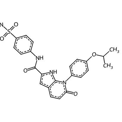 CC(C)Oc1ccc(-n2c(=O)ccc3cc(C(=O)Nc4ccc(S(N)(=O)=O)cc4)[nH]c32)cc1